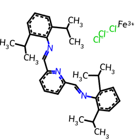 CC(C)c1cccc(C(C)C)c1N=Cc1cccc(C=Nc2c(C(C)C)cccc2C(C)C)n1.[Cl-].[Cl-].[Cl-].[Fe+3]